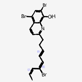 C\C=C/C(Br)=C\C=C\CCc1ccc2c(Br)cc(Br)c(O)c2n1